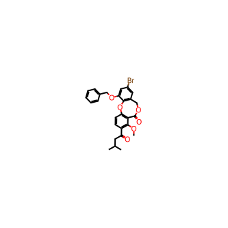 COc1c(C(=O)CC(C)C)ccc2c1C(=O)OCc1cc(Br)cc(OCc3ccccc3)c1O2